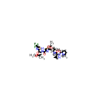 COC(=O)[C@@H](C)C[C@H](Cc1nc(C(F)(F)F)cs1)NC(=O)c1csc([C@@H](C[C@H](C(C)C)N(C)C(=O)[C@@H](NC(=O)[C@H]2CCCCN2C)C2CC2)OC(C)=O)n1